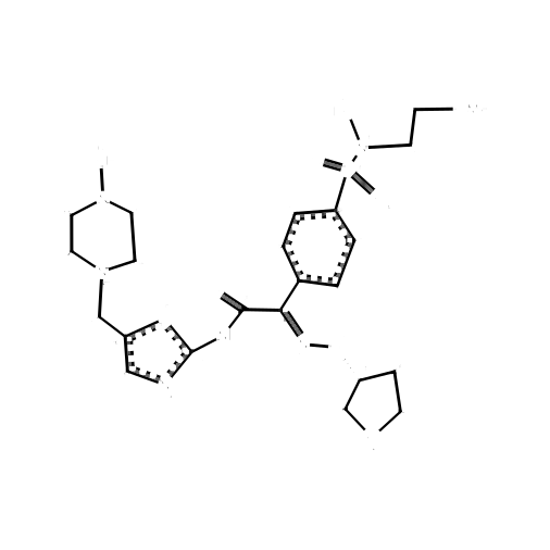 COCCN(C)S(=O)(=O)c1ccc(/C(=N\O[C@@H]2CCOC2)C(=O)Nc2ncc(CN3CCN(C)CC3)s2)cc1